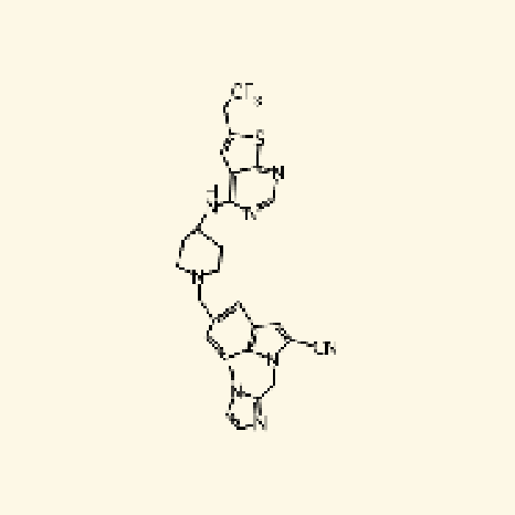 Cn1ccnc1Cn1c(C#N)cc2cc(CN3CCC(Nc4ncnc5sc(CC(F)(F)F)cc45)CC3)ccc21